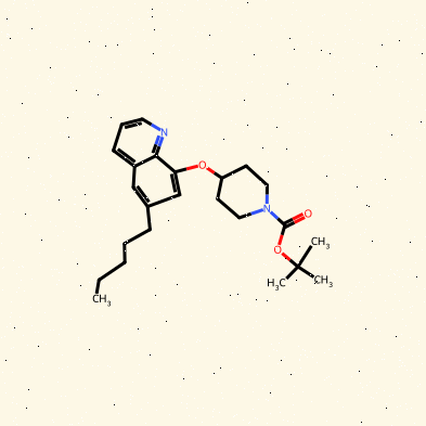 CCCCCc1cc(OC2CCN(C(=O)OC(C)(C)C)CC2)c2ncccc2c1